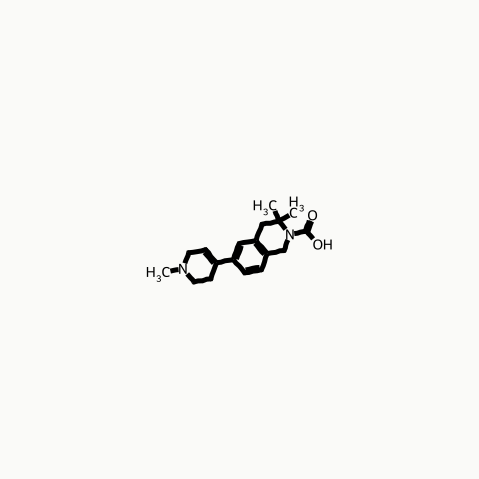 CN1CC=C(c2ccc3c(c2)CC(C)(C)N(C(=O)O)C3)CC1